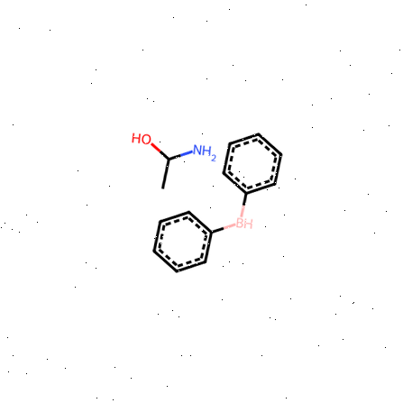 B(c1ccccc1)c1ccccc1.CC(N)O